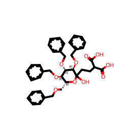 O=C(O)C(CCC1(O)O[C@H](COCc2ccccc2)[C@@H](OCc2ccccc2)[C@H](OCc2ccccc2)[C@H]1OCc1ccccc1)C(=O)O